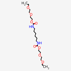 C=COCCOCCOC(=O)NCCCCCCNC(=O)OCCOCCOC=C